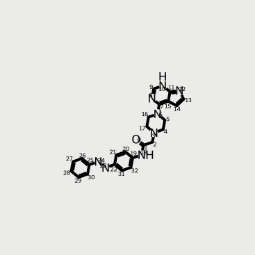 O=C(CN1CCN(c2nc[nH]c3nccc2-3)CC1)Nc1ccc(N=Nc2ccccc2)cc1